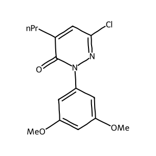 CCCc1cc(Cl)nn(-c2cc(OC)cc(OC)c2)c1=O